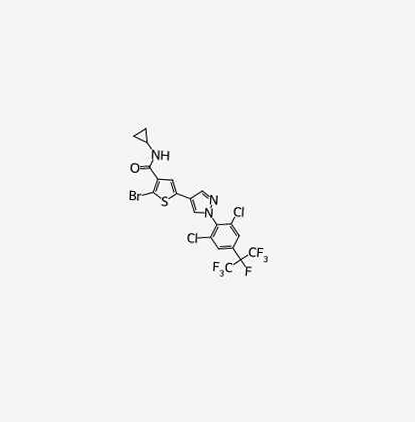 O=C(NC1CC1)c1cc(-c2cnn(-c3c(Cl)cc(C(F)(C(F)(F)F)C(F)(F)F)cc3Cl)c2)sc1Br